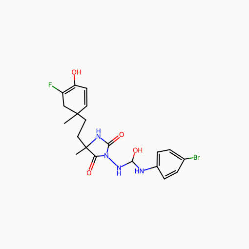 CC1(CCC2(C)NC(=O)N(NC(O)Nc3ccc(Br)cc3)C2=O)C=CC(O)=C(F)C1